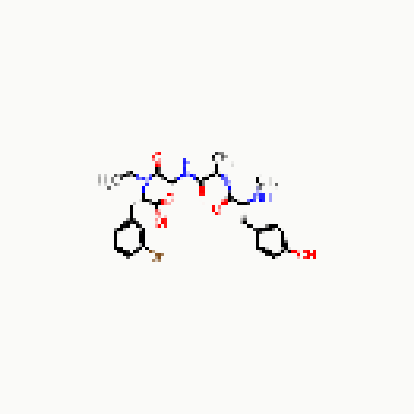 CCN(C(=O)CNC(=O)[C@@H](C)NC(=O)[C@H](Cc1ccc(O)cc1)NC)[C@@H](Cc1cccc(Br)c1)C(=O)O